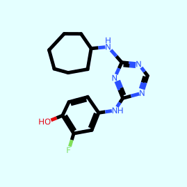 Oc1ccc(Nc2ncnc(NC3CCCCCC3)n2)cc1F